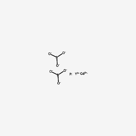 [Gd+3].[O-]B([O-])[O-].[O-]B([O-])[O-].[P].[Y+3]